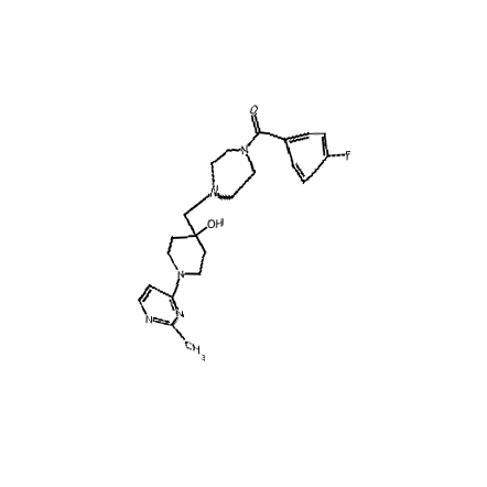 Cc1nccc(N2CCC(O)(CN3CCN(C(=O)c4ccc(F)cc4)CC3)CC2)n1